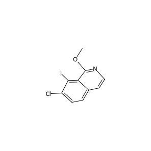 COc1nccc2ccc(Cl)c(I)c12